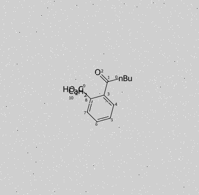 CCCCC(=O)c1ccccc1C(=O)O.[CaH2]